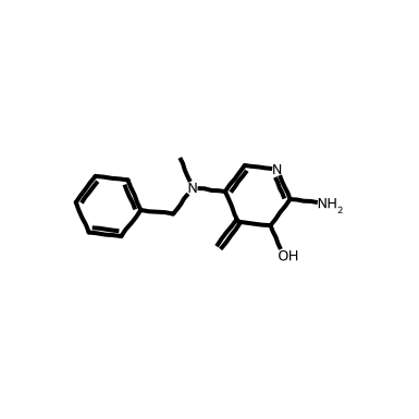 C=C1C(N(C)Cc2ccccc2)=CN=C(N)C1O